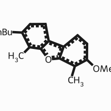 CCCCc1ccc2c(oc3c(C)c(OC)ccc32)c1C